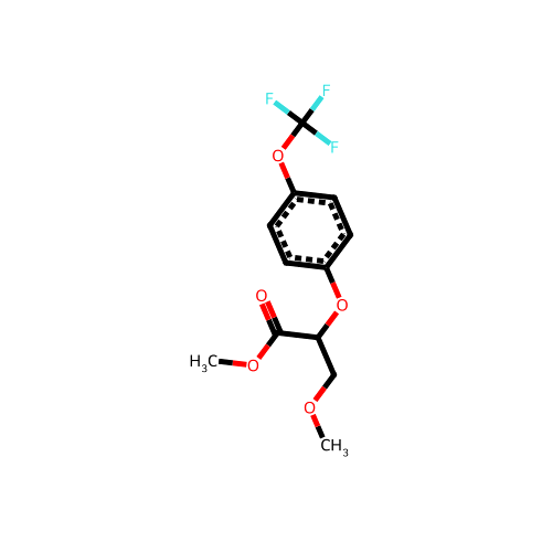 COCC(Oc1ccc(OC(F)(F)F)cc1)C(=O)OC